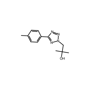 Cc1ccc(-c2nnn(CC(C)(C)O)n2)cc1